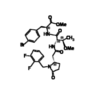 COC(=O)[C@H](Cc1ccc(Br)cc1)NC(=O)[C@@H](NC(=O)C[C@@H]1CCC(=O)N1Cc1cccc(F)c1F)[C@@H](C)OC